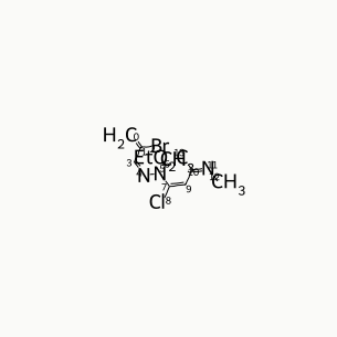 C=C(Br)/C=N\N(C)/C(Cl)=C\C(=N/C)C(=O)OCC